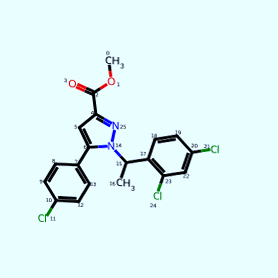 COC(=O)c1cc(-c2ccc(Cl)cc2)n(C(C)c2ccc(Cl)cc2Cl)n1